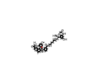 COc1cccc(Nc2c(C(N)=O)cnc3c(C)cc(S(=O)(=O)c4cccc(C(=O)NCCCCCCNC[C@H](OS)c5cc(O)cc6c5OCC(=O)N6)c4)cc23)c1